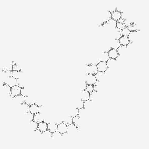 C[C@@H]1CN(c2ncc(-c3ccc4c(n3)N(Cc3cccnc3C#N)C(C)(C)C4=O)cn2)CCN1C(=O)Cn1cc(COCCOCC(=O)N2CCC(Oc3ccc(Oc4cccc(OCC(=O)N[C@@H](CCC(C)(C)C)C(=O)O)c4)nc3)CC2)nn1